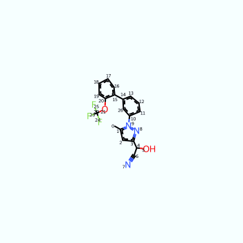 Cc1cc(C(O)C#N)nn1-c1cccc(-c2ccccc2OC(F)(F)F)c1